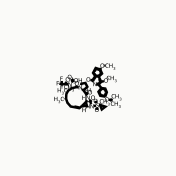 COc1ccc2c(O[C@@H]3C[C@H]4C(=O)N[C@]5(C(=O)NS(=O)(=O)C6(C)CC6)C[C@H]5/C=C\CC[C@H](C)C[C@@H](C)[C@H](N(C(=O)O)C(C)(C)C(F)(F)F)C(=O)N4C3)nc(-c3ccc(OC(C)C)cc3)c(OC)c2c1